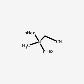 CCCCCC[N+](C)(CC#N)CCCCCC